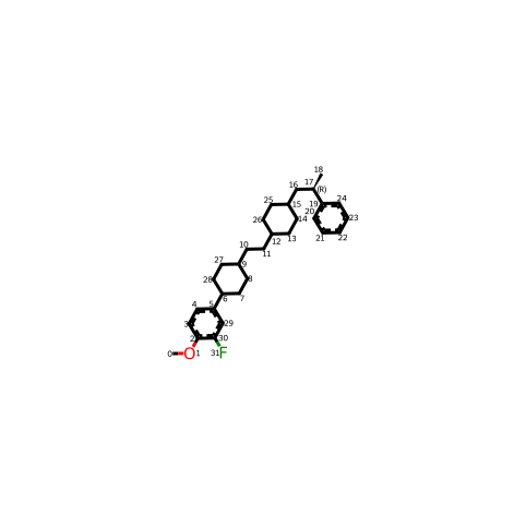 COc1ccc(C2CCC(CCC3CCC(C[C@@H](C)c4ccccc4)CC3)CC2)cc1F